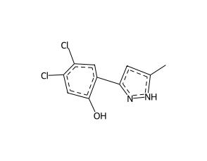 Cc1cc(-c2cc(Cl)c(Cl)cc2O)n[nH]1